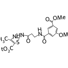 CCOC(=O)c1sc(NC(=O)CCNC(=O)c2cc(OC)cc(C(=O)OC)c2)nc1C